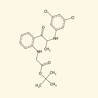 CC(Nc1cc(Cl)cc(Cl)c1)C(=O)c1ccccc1NCC(=O)OC(C)(C)C